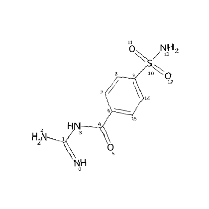 N=C(N)NC(=O)c1ccc(S(N)(=O)=O)cc1